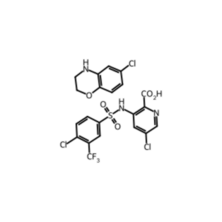 Clc1ccc2c(c1)NCCO2.O=C(O)c1ncc(Cl)cc1NS(=O)(=O)c1ccc(Cl)c(C(F)(F)F)c1